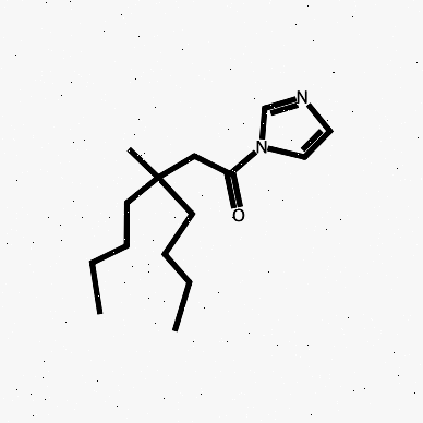 CCCCC(C)(CCCC)CC(=O)n1ccnc1